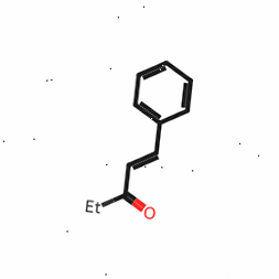 CCC(=O)/C=C/c1ccccc1